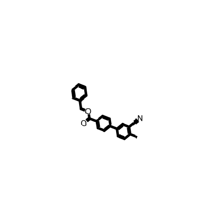 Cc1ccc(-c2ccc(C(=O)OCc3ccccc3)cc2)cc1C#N